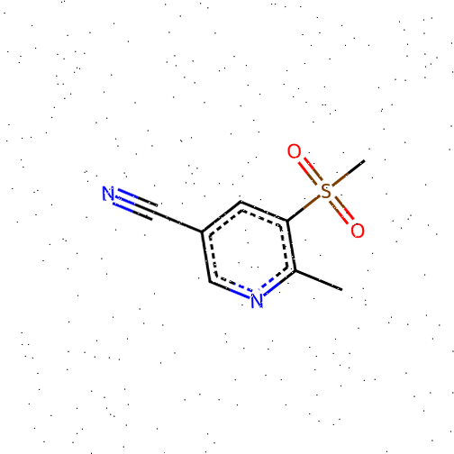 Cc1ncc(C#N)cc1S(C)(=O)=O